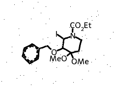 CCOC(=O)N1CCC(OC)(OC)C(OCc2ccccc2)C1I